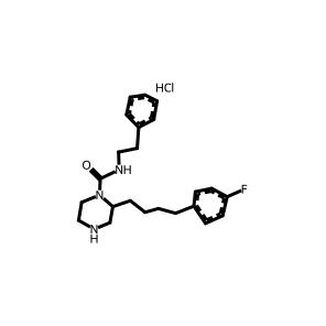 Cl.O=C(NCCc1ccccc1)N1CCNCC1CCCCc1ccc(F)cc1